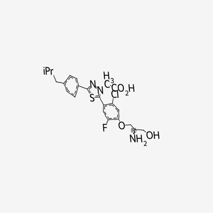 CC(=O)O.CC(C)Cc1ccc(-c2nnc(-c3cc(F)c(OC[C@H](N)CO)cc3Cl)s2)cc1